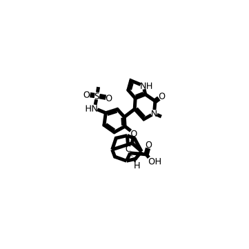 Cn1cc(-c2cc(NS(C)(=O)=O)ccc2OC2C3CC4CC2CC(C3)[C@H](C(=O)O)C4)c2cc[nH]c2c1=O